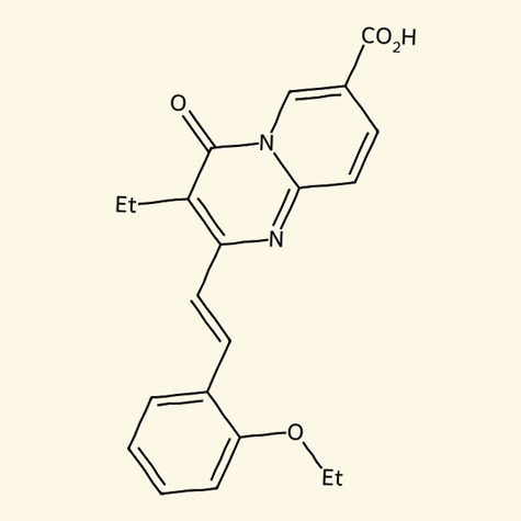 CCOc1ccccc1/C=C/c1nc2ccc(C(=O)O)cn2c(=O)c1CC